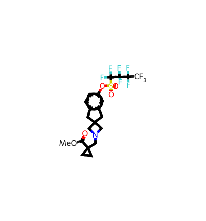 COC(=O)C1(CN2CC3(Cc4ccc(OS(=O)(=O)C(F)(F)C(F)(F)C(F)(F)C(F)(F)F)cc4C3)C2)CC1